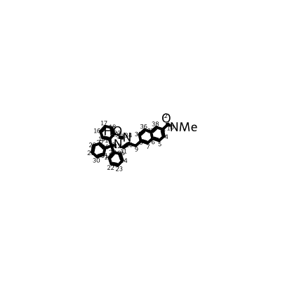 CNC(=O)c1ccc2cc(Cc3cn(C(c4ccccc4)(c4ccccc4)c4ccccc4)c(O)n3)ccc2c1